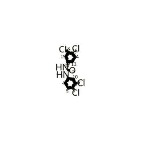 O=C(Nc1ccc(Cl)c(Cl)c1)Nc1ccc(Cl)c(Cl)c1